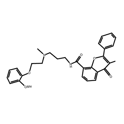 COc1ccccc1OCCN(C)CCCNC(=O)c1cccc2c(=O)c(C)c(-c3ccccc3)oc12